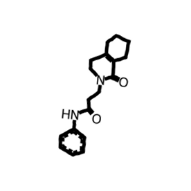 O=C(CCN1CCC2=C(CCCC2)C1=O)Nc1ccccc1